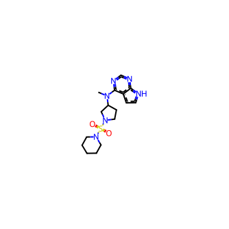 CN(c1ncnc2[nH]ccc12)C1CCN(S(=O)(=O)N2CCCCC2)C1